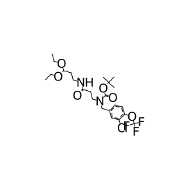 CCOC(CCNC(=O)CCN(Cc1ccc(OC(F)(F)F)c(Cl)c1)C(=O)OC(C)(C)C)OCC